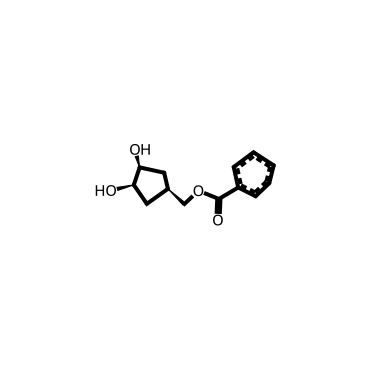 O=C(OC[C@H]1C[C@@H](O)[C@@H](O)C1)c1ccccc1